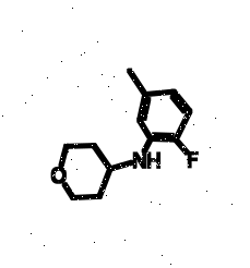 Cc1ccc(F)c(NC2CCOCC2)c1